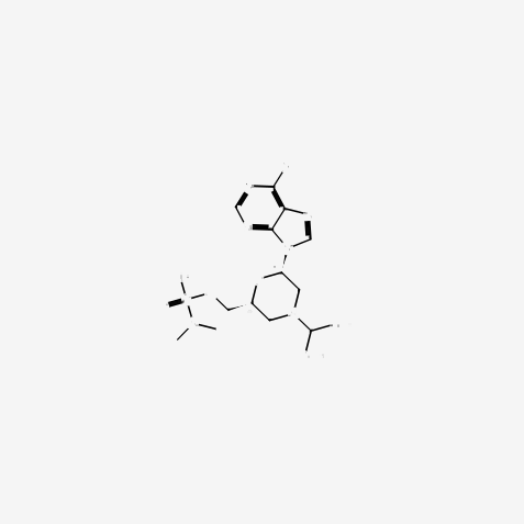 CCCCCCCC(CCCCCCC)N1C[C@@H](COP(=O)(C(C)CC)N(C)C)O[C@@H](n2cnc3c(N)ncnc32)C1